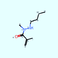 C=C(C)C(=O)N(C)NCCCC